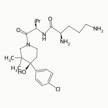 CC(C)[C@@H](NC(=O)[C@H](N)CCCN)C(=O)N1CC[C@](O)(c2ccc(Cl)cc2)C(C)(C)C1